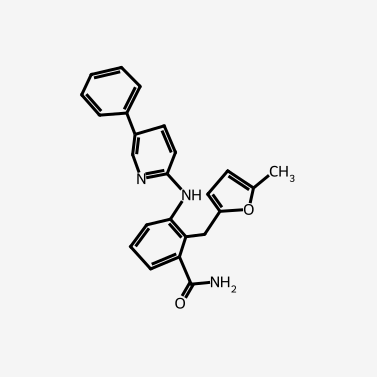 Cc1ccc(Cc2c(Nc3ccc(-c4ccccc4)cn3)cccc2C(N)=O)o1